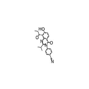 CCC(=O)c1c(O)ccc2c(=O)n(-c3ccc(C#N)cc3)c(C(C)C)nc12